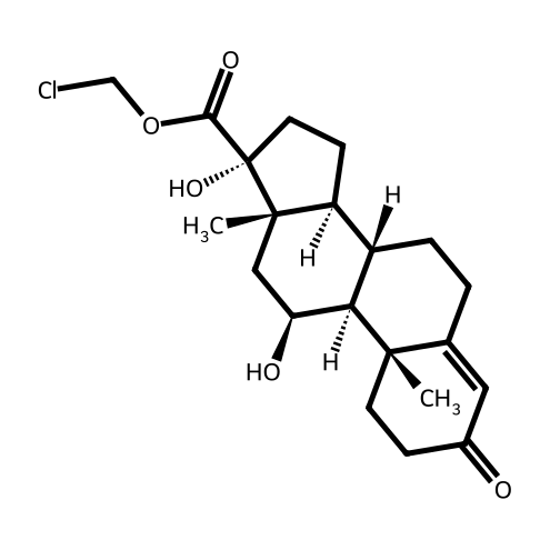 C[C@]12CCC(=O)C=C1CC[C@@H]1[C@@H]2[C@@H](O)C[C@@]2(C)[C@H]1CC[C@]2(O)C(=O)OCCl